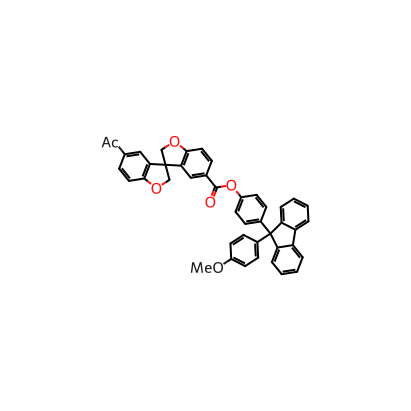 COc1ccc(C2(c3ccc(OC(=O)c4ccc5c(c4)C4(COc6ccc(C(C)=O)cc64)CO5)cc3)c3ccccc3-c3ccccc32)cc1